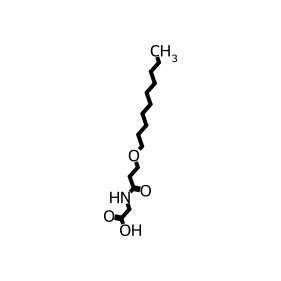 CCCCCCCCCCOCCC(=O)NCC(=O)O